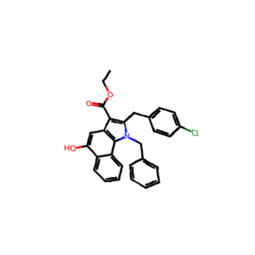 CCOC(=O)c1c(Cc2ccc(Cl)cc2)n(Cc2ccccc2)c2c1cc(O)c1ccccc12